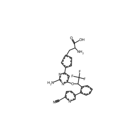 N#Cc1ccc(-c2ccccc2C(Oc2cc(-c3ccc(CC(N)C(=O)O)cc3)nc(N)n2)C(F)(F)F)cn1